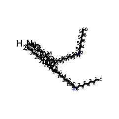 CCCCCCCC/C=C\CCCCCCCCOCC(CN(CCCCCCCC)C(=O)C(C)OCCOCCN)OCCCCCCCC/C=C\CCCCCCCC